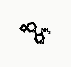 Nc1cnccc1N1CCCC2(CCC2)C1